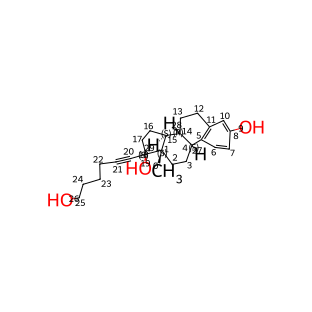 C[C@]12CC[C@@H]3c4ccc(O)cc4CC[C@H]3[C@@H]1CC[C@@]2(O)C#CCCCCO